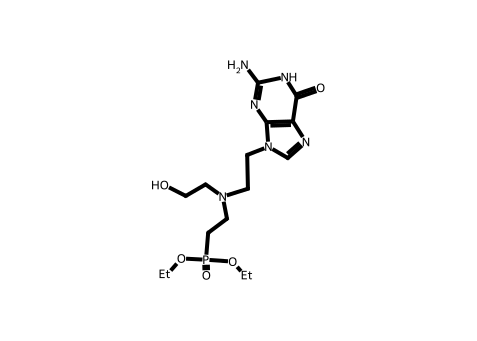 CCOP(=O)(CCN(CCO)CCn1cnc2c(=O)[nH]c(N)nc21)OCC